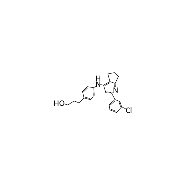 OCCCc1ccc(Nc2cc(-c3cccc(Cl)c3)nc3c2CCC3)cc1